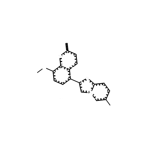 COc1ccc(-c2cn3cc(Cl)ccc3n2)c2ccc(=O)[nH]c12.Cl.O.O